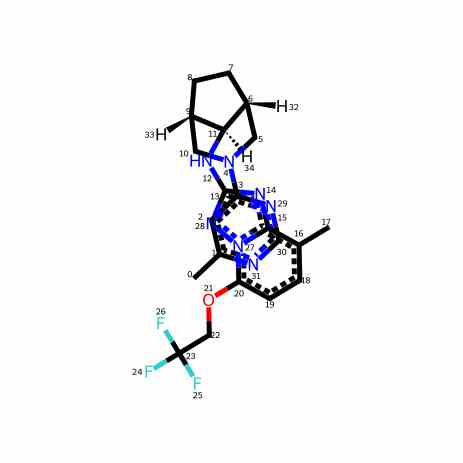 Cc1cc(N2C[C@H]3CC[C@@H](C2)[C@@H]3Nc2nc3c(C)ccc(OCC(F)(F)F)n3n2)ncn1